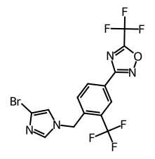 FC(F)(F)c1nc(-c2ccc(Cn3cnc(Br)c3)c(C(F)(F)F)c2)no1